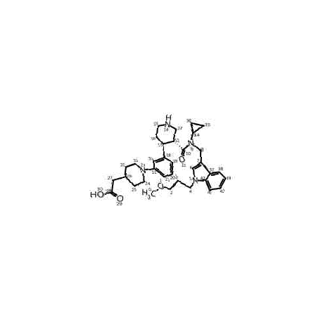 COCCCn1cc(CN(C(=O)[C@H]2CNCC[C@@H]2c2cccc(N3CCC(CC(=O)O)CC3)c2)C2CC2)c2ccccc21